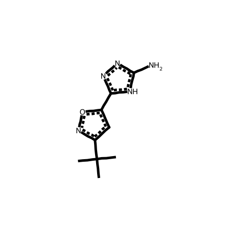 CC(C)(C)c1cc(-c2nnc(N)[nH]2)on1